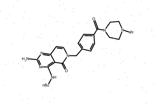 CCCCNc1nc(N)nc2ccn(Cc3ccc(C(=O)N4CCN(C(C)C)CC4)cc3)c(=O)c12